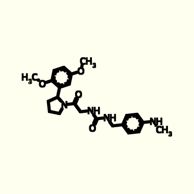 CNc1ccc(CNC(=O)NCC(=O)N2CCCC2c2cc(OC)ccc2OC)cc1